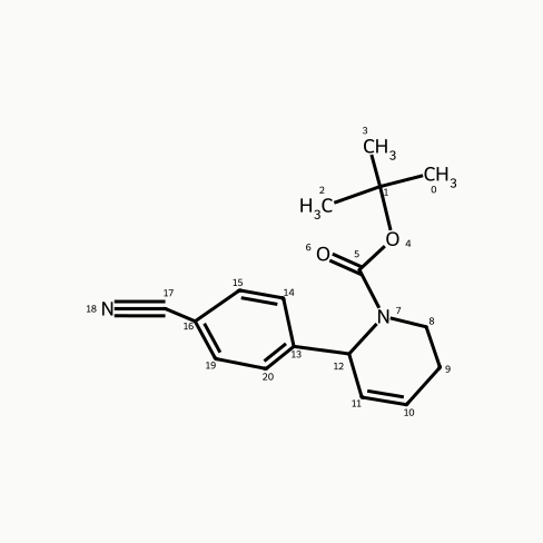 CC(C)(C)OC(=O)N1CCC=CC1c1ccc(C#N)cc1